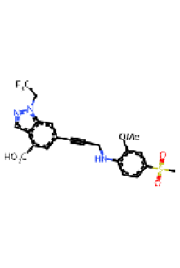 COc1cc(S(C)(=O)=O)ccc1NCC#Cc1cc(C(=O)O)c2cnn(CC(F)(F)F)c2c1